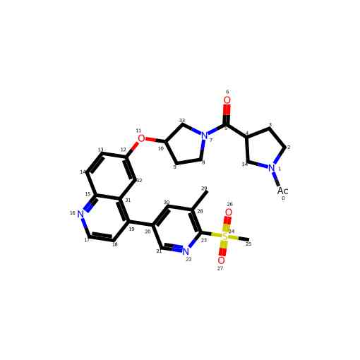 CC(=O)N1CCC(C(=O)N2CCC(Oc3ccc4nccc(-c5cnc(S(C)(=O)=O)c(C)c5)c4c3)C2)C1